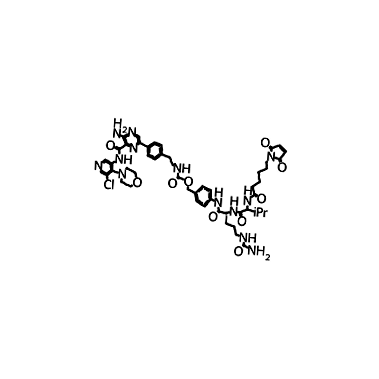 CC(C)C(NC(=O)CCCCCN1C(=O)C=CC1=O)C(=O)N[C@@H](CCCNC(N)=O)C(=O)Nc1ccc(COC(=O)NCCc2ccc(-c3cnc(N)c(C(=O)Nc4cncc(Cl)c4N4CCOCC4)n3)cc2)cc1